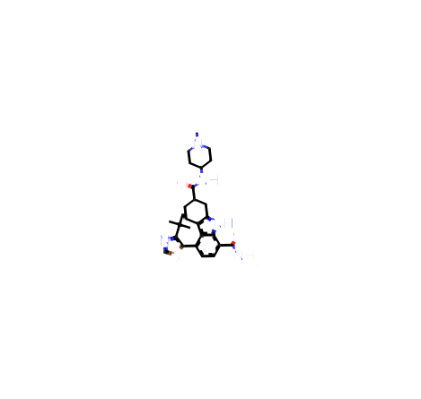 CN1CCC(NC(=O)C2CCc3c([nH]c4c(C(N)=O)ccc(-c5s[c]nc5C(C)(C)C)c34)C2)CC1